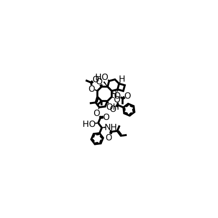 C/C=C(\C)C(=O)N[C@@H](c1ccccc1)[C@@H](O)C(=O)O[C@H]1C[C@@]2(O)[C@@H](OC(=O)c3ccccc3)[C@@H]3[C@]4(OC(C)=O)CC[C@@H]4C[C@H](O)[C@@]3(C)C(=O)[C@H](OC(C)=O)C(=C1C)C2(C)C